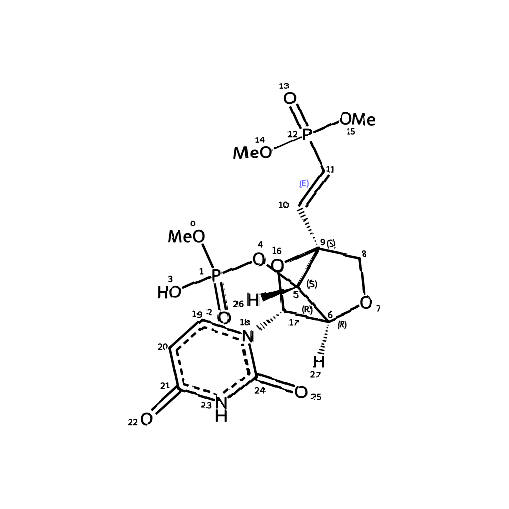 COP(=O)(O)O[C@H]1[C@H]2OC[C@]1(/C=C/P(=O)(OC)OC)O[C@H]2n1ccc(=O)[nH]c1=O